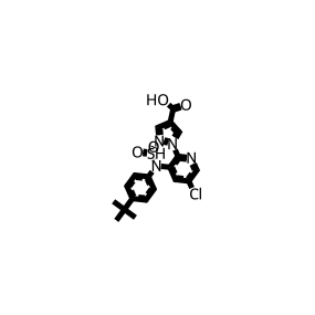 CC(C)(C)c1ccc(N(c2cc(Cl)cnc2-n2cc(C(=O)O)cn2)[SH](=O)=O)cc1